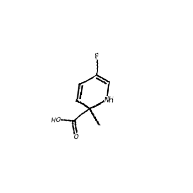 CC1(C(=O)O)C=CC(F)=CN1